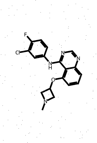 CN1CC(Oc2cccc3ncnc(Nc4ccc(F)c(Cl)c4)c23)C1